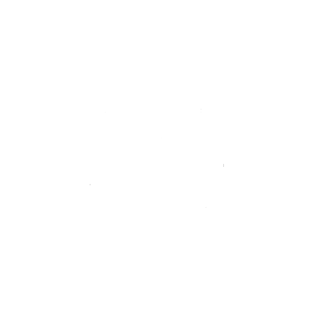 O=C1c2cccc(Cl)c2-c2c(Cl)cccc21